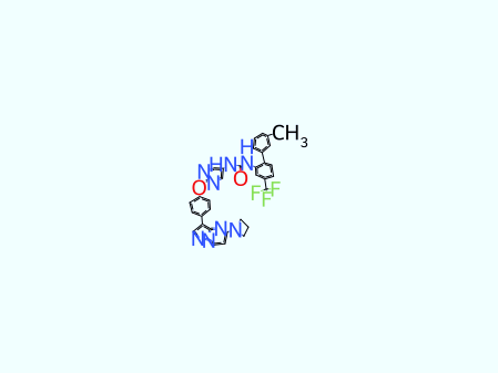 Cc1cccc(-c2ccc(C(F)(F)F)cc2NC(=O)Nc2cnc(Oc3ccc(-c4cnn5ccc(N6CCC6)nc45)cc3)nc2)c1